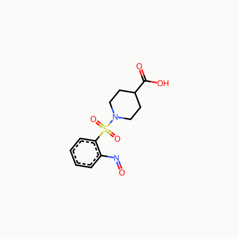 O=Nc1ccccc1S(=O)(=O)N1CCC(C(=O)O)CC1